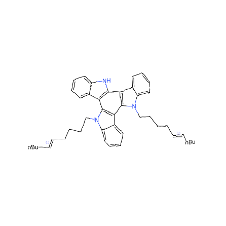 CCCC/C=C/CCCCn1c2ccccc2c2c3[nH]c4ccccc4c3c3c(c4ccccc4n3CCCC/C=C/CCCC)c21